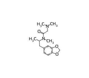 CC(Cc1ccc2c(c1)OCO2)N(C)C(=O)CN(C)C